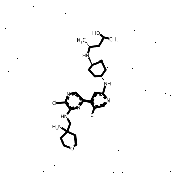 CC(O)C[C@@H](C)N[C@H]1CC[C@H](Nc2cc(-c3cnc(Cl)c(NCC4(N)CCOCC4)n3)c(Cl)cn2)CC1